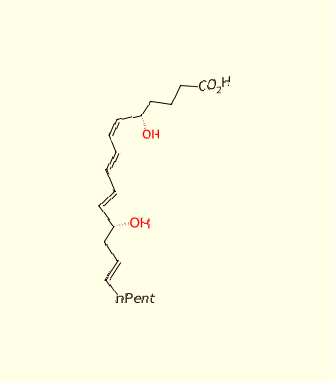 CCCCCC=CC[C@@H](O)C=C/C=C/C=C\[C@@H](O)CCCC(=O)O